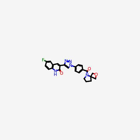 O=C(c1ccc(-n2cc(-c3cc4cc(F)ccc4[nH]c3=O)nn2)cc1)N1CCCC12COC2